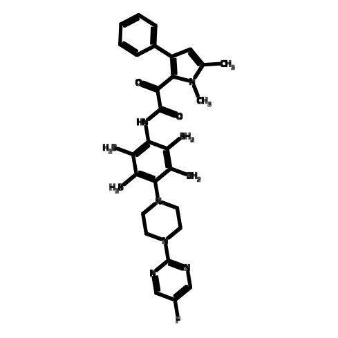 Bc1c(B)c(N2CCN(c3ncc(F)cn3)CC2)c(B)c(B)c1NC(=O)C(=O)c1c(-c2ccccc2)cc(C)n1C